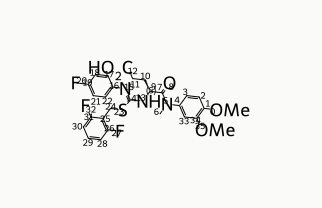 COc1ccc(N(C)C(=O)[C@H](CCC(=O)O)NC(=Nc2ccc(F)cc2)SCc2c(F)cccc2F)cc1OC